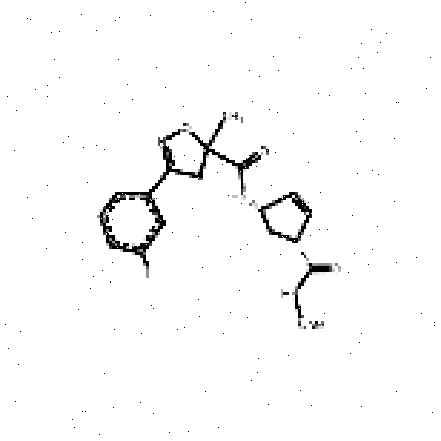 CONC(=O)[C@H]1C=C[C@@H](NC(=O)C2(C)CC(c3cccc(F)c3)=NO2)C1